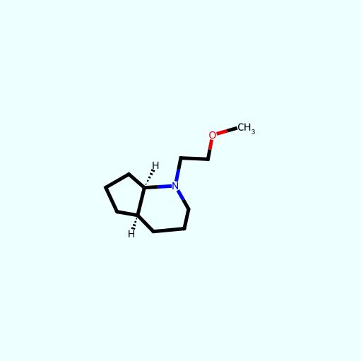 COCCN1CCC[C@H]2CCC[C@H]21